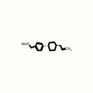 C=CC[C@H]1CC[C@H](c2ccc(COC)cc2)CC1